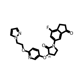 O=C1CCc2c(F)cc(N3CC[C@@H](Oc4ccc(OCCn5cccn5)nc4)C3=O)cc21